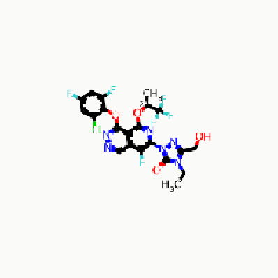 CCn1c(CO)nn(-c2nc(O[C@@H](C)C(F)(F)F)c3c(Oc4c(F)cc(F)cc4Cl)nncc3c2F)c1=O